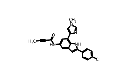 CC#CC(=O)Nc1cc(-c2cn(C)cn2)c2[nH]c(-c3ccc(Cl)cc3)cc2c1